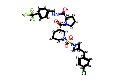 O=C(NCc1ccc(C(F)(F)F)cc1)[C@H]1CCCN1C(=O)[C@H]1CCCN(S(=O)(=O)N2CC(Cc3ccc(Cl)cc3)C2)C1